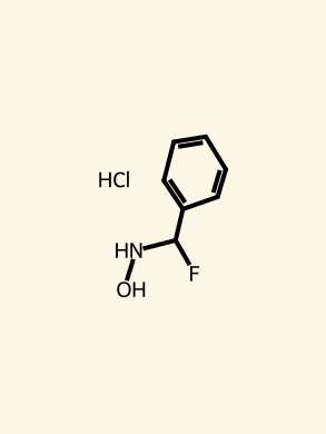 Cl.ONC(F)c1ccccc1